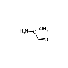 NOC=O.[AlH3]